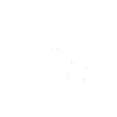 NC(=O)c1ccccc1-c1cn2ccnc2c(Nc2ccc(N3CCOCC3)cc2)n1